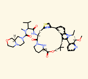 CCn1c(-c2cccnc2[C@H](C)OC)c2c3cc(ccc31)-c1csc(n1)C[C@H](NC(=O)C(C(C)C)N(C)C(=O)N1CCN3CCOC[C@H]3C1)C(=O)N1CCC[C@H](N1)C(=O)OCC(C)(C)C2